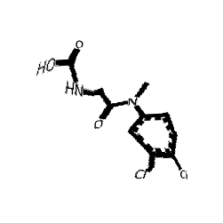 CN(C(=O)CNC(=O)O)c1ccc(Cl)c(Cl)c1